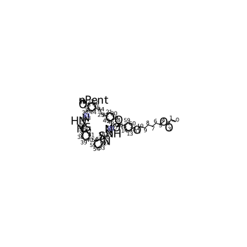 C=CC(=O)OCCCCCCOc1ccc(C(=O)Oc2ccc(CCc3ccc(OCCCCC)c(/C=N/Nc4nc5ccccc5s4)c3)cc2/C=N/Nc2nc3ccccc3s2)cc1